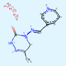 CC1=NNC(=O)N(N=Cc2cccnc2)C1.O.O.O